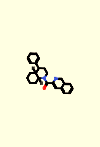 O=C(c1cc2ccccc2cn1)N1CC[C@H](c2ccccc2)[C@H]2CCCC[C@H]21